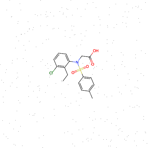 CCc1c(Cl)cccc1N(CC(=O)O)S(=O)(=O)c1ccc(C)cc1